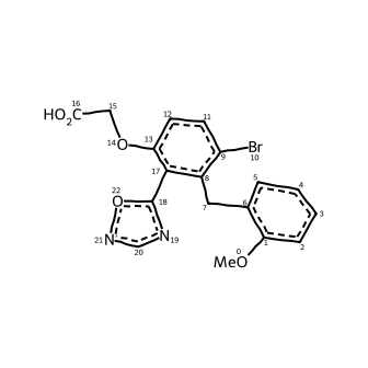 COc1ccccc1Cc1c(Br)ccc(OCC(=O)O)c1-c1ncno1